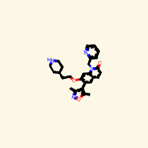 Cc1noc(C)c1-c1cc2ccc(=O)n(Cc3ccccn3)c2cc1OCCC1CCNCC1